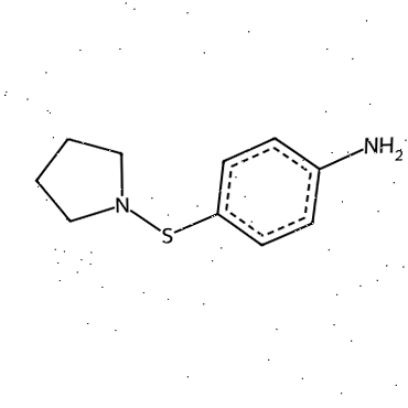 Nc1ccc(SN2CCCC2)cc1